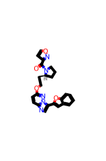 O=C(c1ccon1)N1CCC[C@H]1CCOc1ccc2ncc(-c3cc4ccccc4o3)n2n1